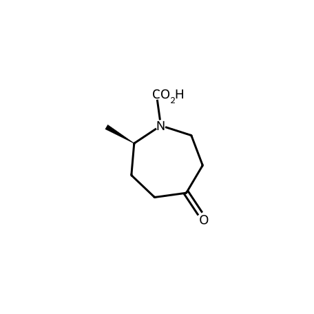 C[C@@H]1CCC(=O)CCN1C(=O)O